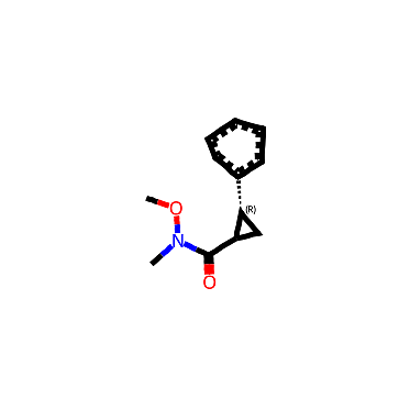 CON(C)C(=O)C1C[C@H]1c1ccccc1